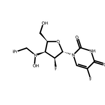 CC(C)CN(O)[C@@H]1[C@H](F)[C@@H](n2cc(F)c(=O)[nH]c2=O)O[C@@H]1CO